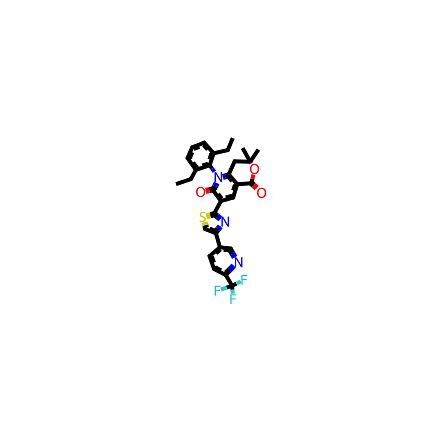 CCc1cccc(CC)c1-n1c2c(cc(-c3nc(-c4ccc(C(F)(F)F)nc4)cs3)c1=O)C(=O)OC(C)(C)C2